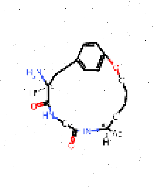 CC(=O)[C@@H]1CCCCOc2ccc(cc2)C[C@H](N)C(=O)NCC(=O)N1